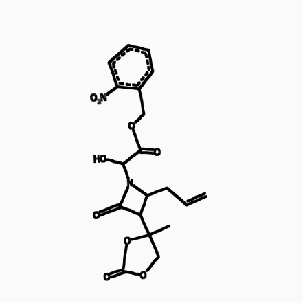 C=CCC1C(C2(C)COC(=O)O2)C(=O)N1C(O)C(=O)OCc1ccccc1[N+](=O)[O-]